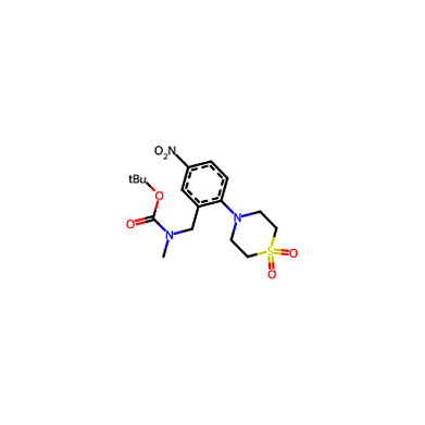 CN(Cc1cc([N+](=O)[O-])ccc1N1CCS(=O)(=O)CC1)C(=O)OC(C)(C)C